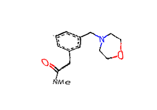 CNC(=O)Cc1c[c]cc(CN2CCOCC2)c1